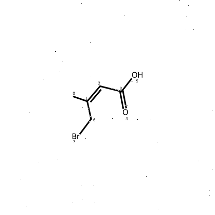 C/C(=C/C(=O)O)CBr